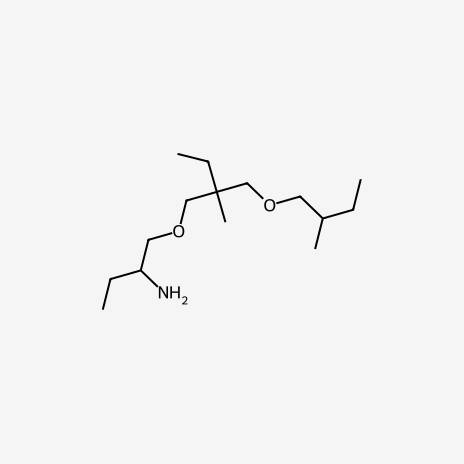 CCC(C)COCC(C)(CC)COCC(N)CC